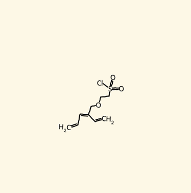 C=C/C=C(\C=C)COCCS(=O)(=O)Cl